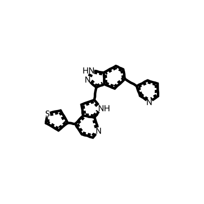 c1cncc(-c2ccc3[nH]nc(-c4cc5c(-c6ccsc6)ccnc5[nH]4)c3c2)c1